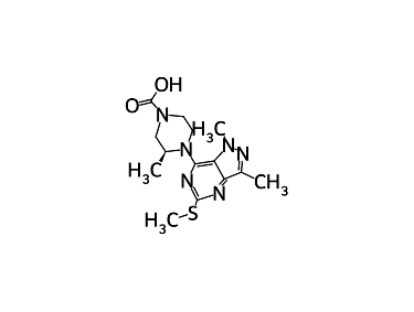 CSc1nc(N2CCN(C(=O)O)C[C@@H]2C)c2c(n1)c(C)nn2C